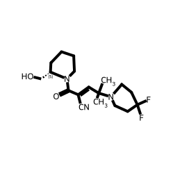 CC(C)(C=C(C#N)C(=O)N1CCCC[C@H]1CO)N1CCC(F)(F)CC1